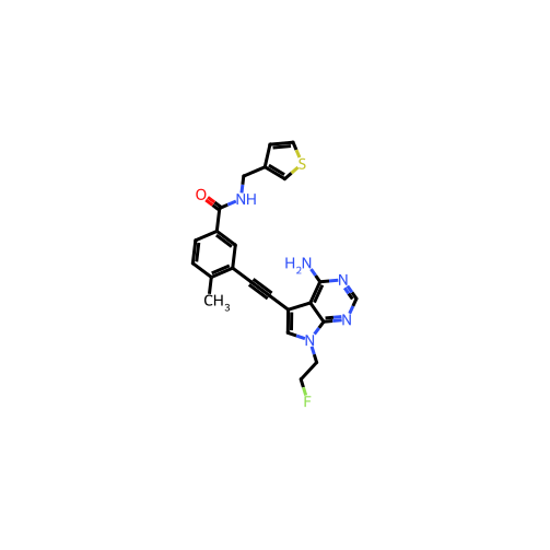 Cc1ccc(C(=O)NCc2ccsc2)cc1C#Cc1cn(CCF)c2ncnc(N)c12